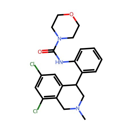 CN1Cc2c(Cl)cc(Cl)cc2C(c2ccccc2NC(=O)N2CCOCC2)C1